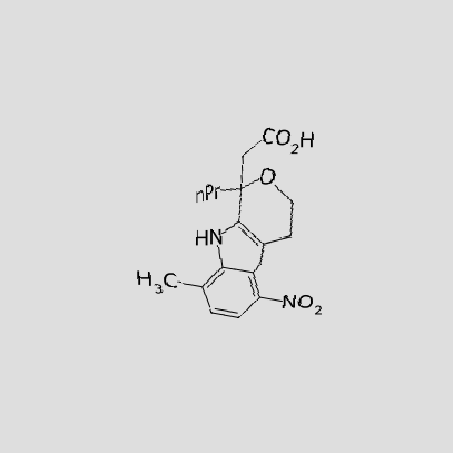 CCCC1(CC(=O)O)OCCc2c1[nH]c1c(C)ccc([N+](=O)[O-])c21